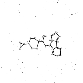 OC(CC1c2ccccc2-c2cncn21)C1CCN(C2CC2)CC1